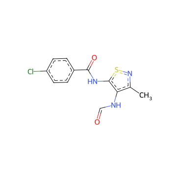 Cc1nsc(NC(=O)c2ccc(Cl)cc2)c1NC=O